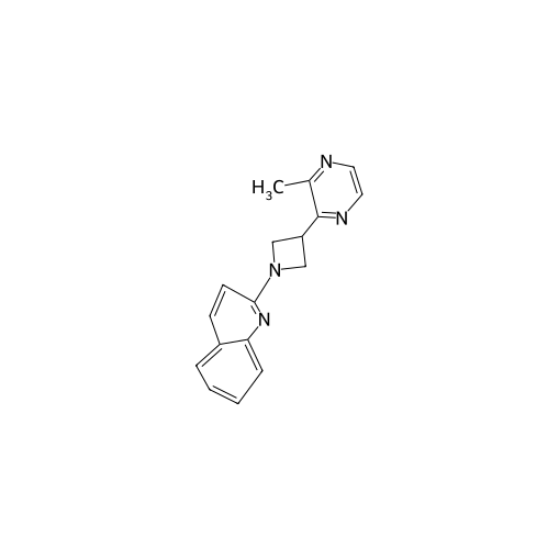 Cc1nccnc1C1CN(c2ccc3ccccc3n2)C1